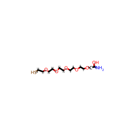 NC(O)COCCOCCOCCOCCOCCS